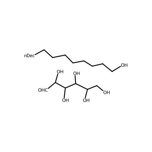 CCCCCCCCCCCCCCCCCCO.O=CC(O)C(O)C(O)C(O)CO